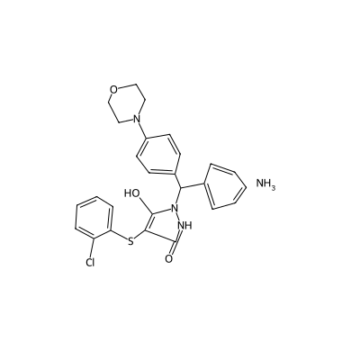 N.O=c1[nH]n(C(c2ccccc2)c2ccc(N3CCOCC3)cc2)c(O)c1Sc1ccccc1Cl